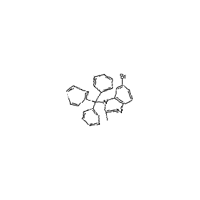 Brc1ccc2nc(I)n(C(c3ccccc3)(c3ccccc3)c3ccccc3)c2c1